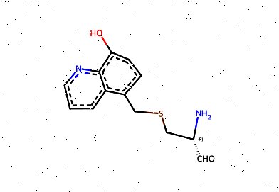 N[C@H](C=O)CSCc1ccc(O)c2ncccc12